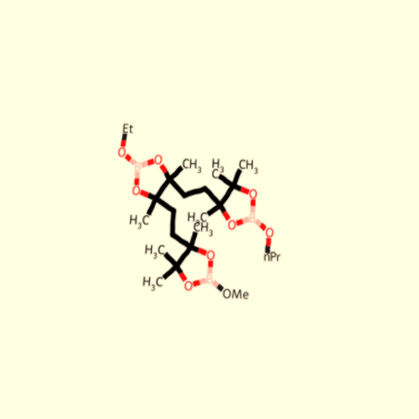 CCCOB1OC(C)(C)C(C)(CCC2(C)OB(OCC)OC2(C)CCC2(C)OB(OC)OC2(C)C)O1